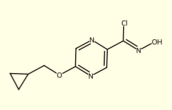 ON=C(Cl)c1cnc(OCC2CC2)cn1